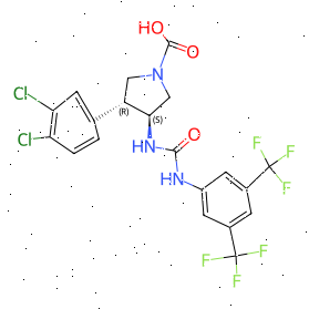 O=C(Nc1cc(C(F)(F)F)cc(C(F)(F)F)c1)N[C@@H]1CN(C(=O)O)C[C@H]1c1ccc(Cl)c(Cl)c1